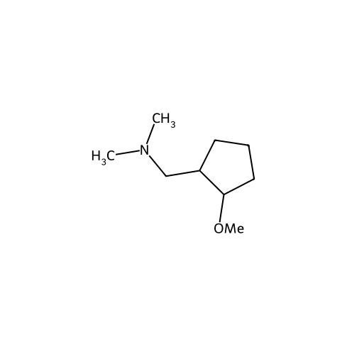 COC1CCCC1CN(C)C